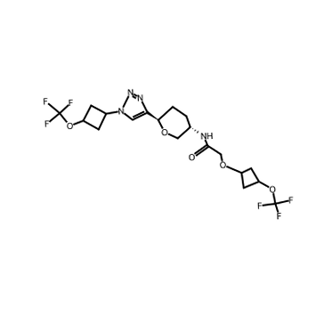 O=C(COC1CC(OC(F)(F)F)C1)N[C@H]1CC[C@H](c2cn(C3CC(OC(F)(F)F)C3)nn2)OC1